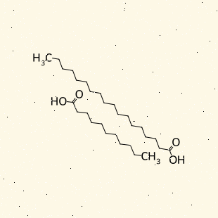 CCCCCCCCCCC(=O)O.CCCCCCCCCCCCCCCCCC(=O)O